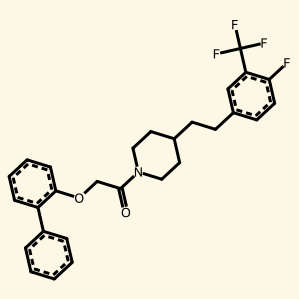 O=C(COc1ccccc1-c1ccccc1)N1CCC(CCc2ccc(F)c(C(F)(F)F)c2)CC1